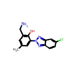 Cc1cc(CN)c(O)c(-n2nc3ccc(Cl)cc3n2)c1